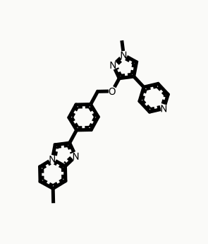 Cc1ccn2cc(-c3ccc(COc4nn(C)cc4-c4ccncc4)cc3)nc2c1